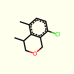 Cc1ccc(Cl)c2c1C(C)COC2